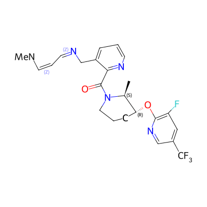 CN/C=C\C=N/Cc1cccnc1C(=O)N1CCC[C@@H](Oc2ncc(C(F)(F)F)cc2F)[C@@H]1C